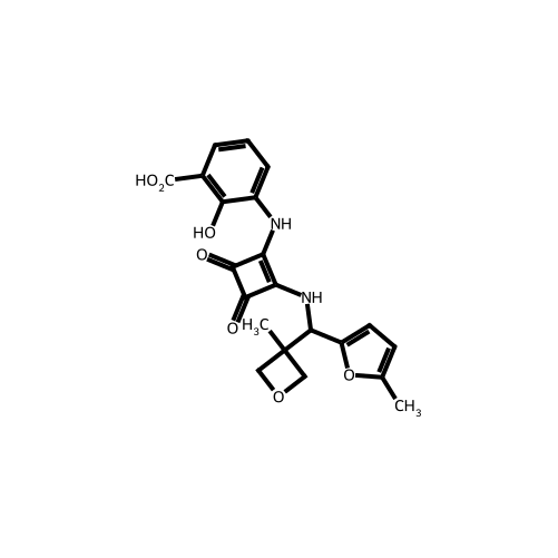 Cc1ccc(C(Nc2c(Nc3cccc(C(=O)O)c3O)c(=O)c2=O)C2(C)COC2)o1